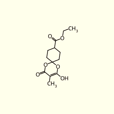 CCOC(=O)C1CCC2(CC1)OC(=O)C(C)=C(O)O2